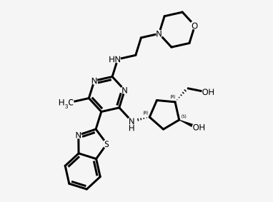 Cc1nc(NCCN2CCOCC2)nc(N[C@@H]2C[C@H](CO)[C@@H](O)C2)c1-c1nc2ccccc2s1